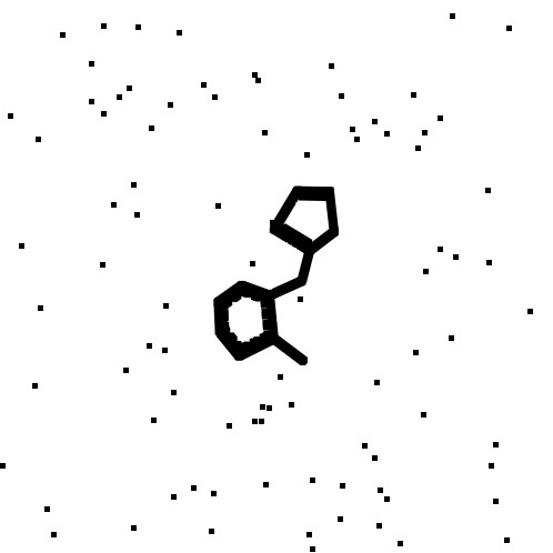 Cc1ccccc1CC1=CC=CC1